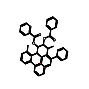 Cc1cccc(-c2ccccc2)c1C1c2cccc(-c3ccccc3)c2C(C)C(OC(=O)c2ccccc2)C1OC(=O)c1ccccc1